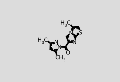 Cc1cc(C)n(C(=O)c2cn3c(C)csc3n2)n1